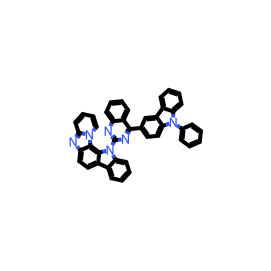 c1ccc(-n2c3ccccc3c3cc(-c4nc(-n5c6ccccc6c6ccc7nc8ccccn8c7c65)nc5ccccc45)ccc32)cc1